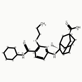 CCCSc1nc(N[C@H]2C3CC4CC2C[C@@](C(=O)O)(C4)C3)ccc1C(=O)NC1CCCCC1